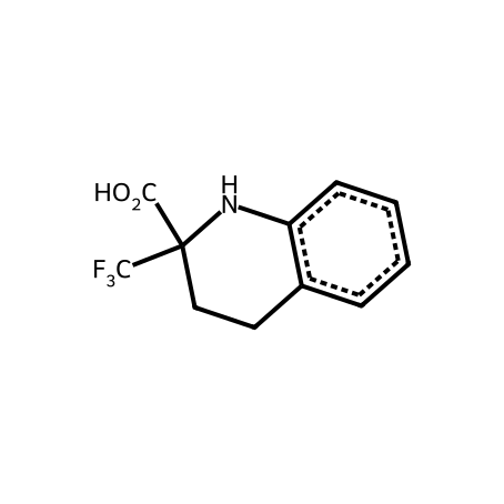 O=C(O)C1(C(F)(F)F)CCc2ccccc2N1